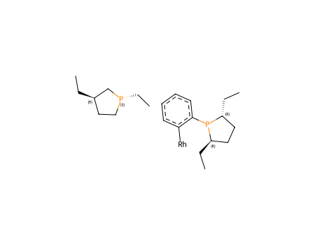 CC[C@@H]1CC[C@@H](CC)P1c1cccc[c]1[Rh].CC[C@@H]1CC[P@@](CC)C1